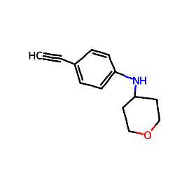 C#Cc1ccc(NC2CCOCC2)cc1